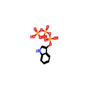 O=P(O)(O)OP(=O)(O)OP(=O)(O)Oc1c[nH]c2ccccc12